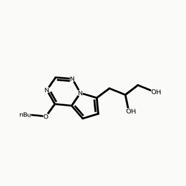 CCCCOc1ncnn2c(CC(O)CO)ccc12